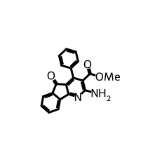 COC(=O)c1c(N)nc2c(c1-c1ccccc1)C(=O)c1ccccc1-2